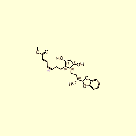 COC(=O)C=C/C=C\CC[C@@H]1[C@@H](CC[C@@H](O)C2Oc3ccccc3O2)[C@H](O)C[C@@H]1O